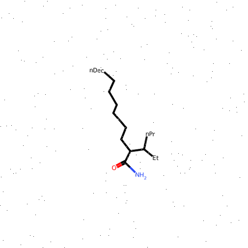 CCCCCCCCCCCCCCCCC(C(N)=O)C(CC)CCC